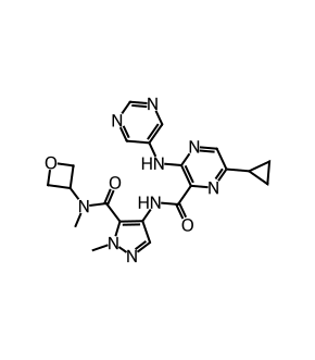 CN(C(=O)c1c(NC(=O)c2nc(C3CC3)cnc2Nc2cncnc2)cnn1C)C1COC1